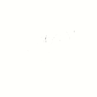 CC(=O)c1ccc([C@H]2C[C@@]3(C)[C@@H](CC[C@@]3(O)/C=C/C(F)(F)F)[C@@H]3CCC4=CC(=O)CCC4=C32)cc1